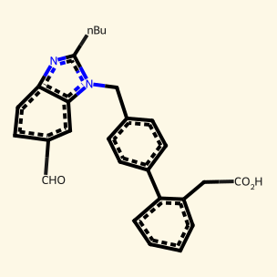 CCCCc1nc2ccc(C=O)cc2n1Cc1ccc(-c2ccccc2CC(=O)O)cc1